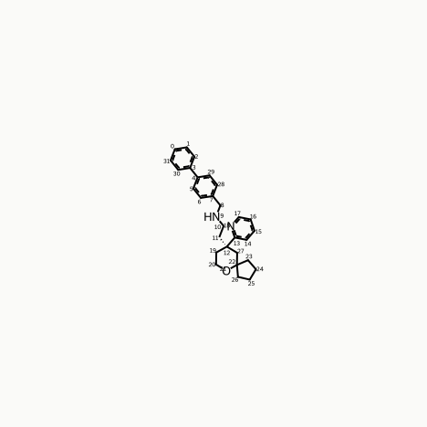 c1ccc(-c2ccc(CNCC[C@@]3(c4ccccn4)CCOC4(CCCC4)C3)cc2)cc1